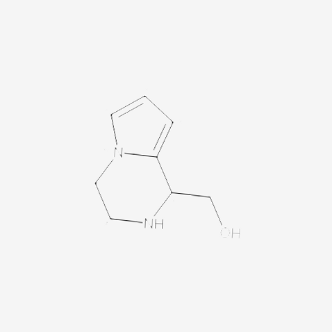 OCC1NCCn2cccc21